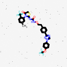 Cc1ccc(C(F)(F)F)c(N2C(=O)CS/C2=N\C(=O)NOCCc2ccc(-c3ncn(-c4ccc(OC(F)(F)F)cc4)n3)cc2)c1